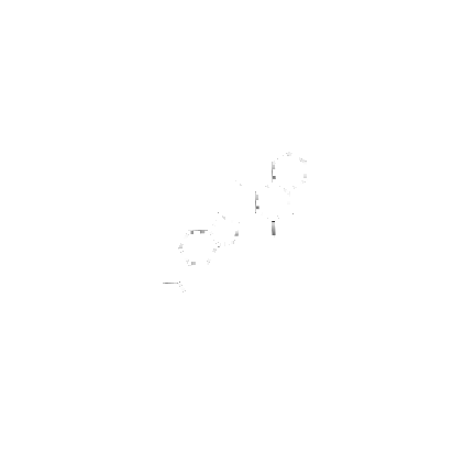 Nc1c(-c2nc3ccc(C(=O)O)cc3[nH]2)c(=O)[nH]c2cccc(F)c12